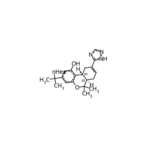 CCCCCCC(C)(C)c1cc(O)c2c(c1)OC(C)(C)[C@@H]1CC=C(c3ncn[nH]3)C[C@@H]21